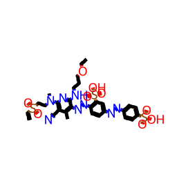 C=CS(=O)(=O)CCN(C)c1nc(NCCCOCC)c(/N=N/c2ccc(/N=N/c3ccc(S(=O)(=O)O)cc3)cc2S(=O)(=O)O)c(C)c1C#N